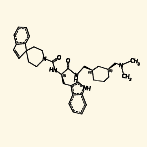 CN(C)C[C@H]1CCC[C@@H](CNC(=O)[C@@H](Cc2c[nH]c3ccccc23)NC(=O)N2CCC3(C=Cc4ccccc43)CC2)C1